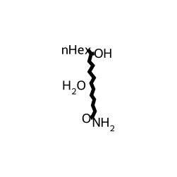 CCCCCCC(O)CCCCCCCCCCC(N)=O.O